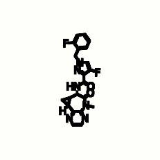 CN1C(=O)[C@@H](NC(=O)c2nn(Cc3ccccc3F)cc2F)C2C[C@H]2c2nccnc21